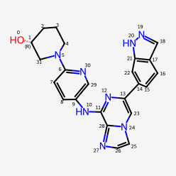 O[C@@H]1CCCN(c2ccc(Nc3nc(-c4ccc5cn[nH]c5c4)cn4ccnc34)cn2)C1